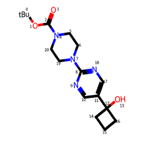 CC(C)(C)OC(=O)N1CCN(c2ncc(C3(O)CCC3)cn2)CC1